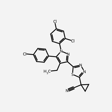 CCc1c(-c2nnc(C3(C#N)CC3)s2)nn(-c2ccc(Cl)cc2Cl)c1-c1ccc(Cl)cc1